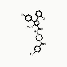 COc1c(C(=O)NN2CCN(C(=O)c3ccc(C(F)(F)F)cc3)CC2)nn(-c2ccccc2Cl)c1-c1ccc(Cl)cc1